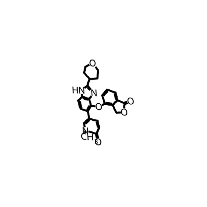 Cn1cc(-c2ccc3[nH]c(C4CCOCC4)nc3c2Oc2cccc3c2COC3=O)ccc1=O